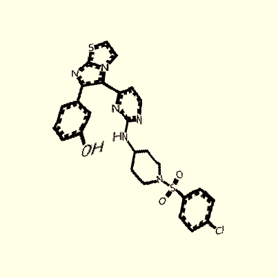 O=S(=O)(c1ccc(Cl)cc1)N1CCC(Nc2nccc(-c3c(-c4cccc(O)c4)nc4sccn34)n2)CC1